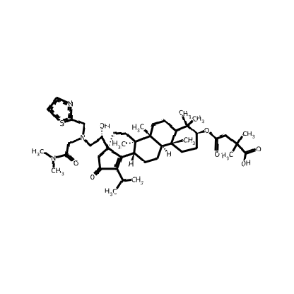 CC(C)C1=C2[C@H]3CC[C@@H]4[C@@]5(C)CC[C@H](OC(=O)CC(C)(C)C(=O)O)C(C)(C)C5CC[C@@]4(C)[C@]3(C)CC[C@@]2([C@@H](O)CN(CC(=O)N(C)C)Cc2nccs2)CC1=O